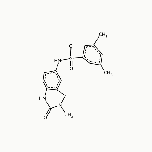 Cc1cc(C)cc(S(=O)(=O)Nc2ccc3c(c2)CN(C)C(=O)N3)c1